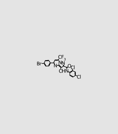 O=C(Nc1ccc(Cl)cc1Cl)c1nn2c(C(F)(F)F)cc(-c3ccc(Br)cc3)nc2c1Cl